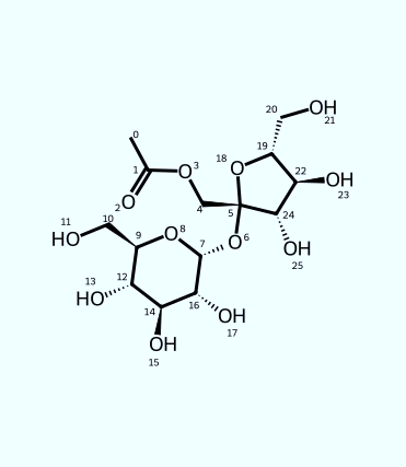 CC(=O)OC[C@@]1(O[C@H]2O[C@H](CO)[C@@H](O)[C@H](O)[C@H]2O)O[C@H](CO)[C@@H](O)[C@@H]1O